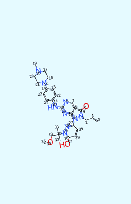 C=CCn1c(=O)c2cnc(Nc3ccc(N4CCN(C)CC4)cc3)nc2n1C1=NN(C(C)(C)COC)C(O)C=C1